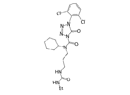 CCNC(=O)NCCCN(C(=O)n1nnn(-c2c(Cl)cccc2Cl)c1=O)C1CCCCC1